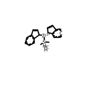 C[SiH](C)[Zr+2]([CH]1C=Cc2ccccc21)[CH]1C=Cc2ccccc21.[H-].[H-]